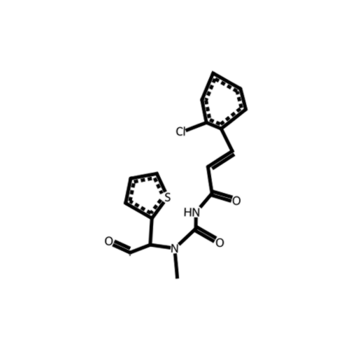 CN(C(=O)NC(=O)C=Cc1ccccc1Cl)C([C]=O)c1cccs1